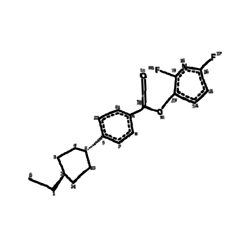 CC[C@H]1CC[C@H](c2ccc(C(=O)Oc3ccc(F)nc3F)cc2)CC1